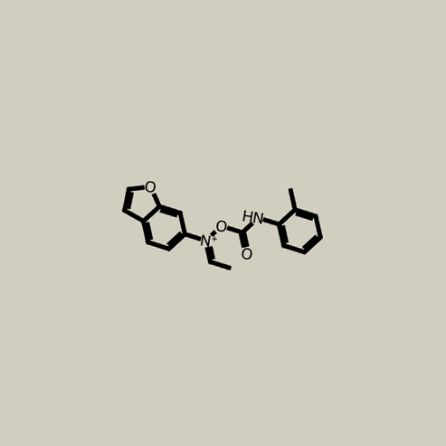 CC=[N+](OC(=O)Nc1ccccc1C)c1ccc2ccoc2c1